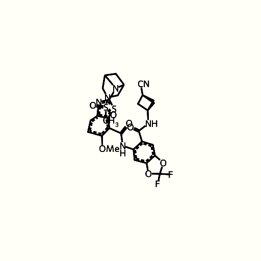 COc1ccc2nc(N3C4CC3CN(S(C)(=O)=O)C4)sc2c1C(=O)Nc1cc2c(cc1C(=O)NC13CC(C#N)(C1)C3)OC(F)(F)O2